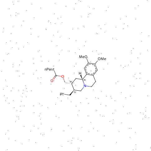 CCCCCC(=O)OC[C@@H]1C[C@@H]2c3cc(OC)c(OC)cc3CCN2C[C@H]1CC(C)C